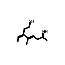 C/C=C(CCS)\C(=C\CC(C)=N)CC